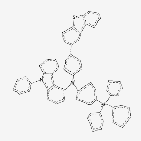 c1ccc(-n2c3ccccc3c3c(N(c4ccc(-c5ccc6sc7ccccc7c6c5)cc4)c4ccc([Si](c5ccccc5)(c5ccccc5)c5ccccc5)cc4)cccc32)cc1